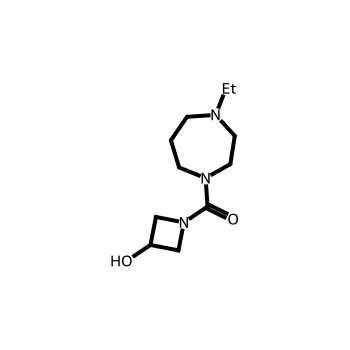 CCN1CCCN(C(=O)N2CC(O)C2)CC1